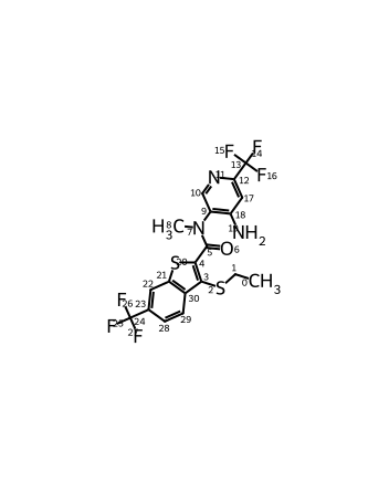 CCSc1c(C(=O)N(C)c2cnc(C(F)(F)F)cc2N)sc2cc(C(F)(F)F)ccc12